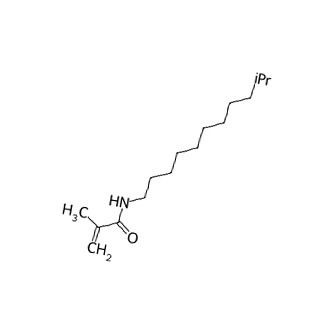 C=C(C)C(=O)NCCCCCCCCCC(C)C